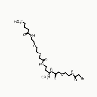 O=C(O)CCCC(=O)NCCOCCOCC(=O)NCCC(NC(=O)COCCNC(=O)CBr)C(=O)O